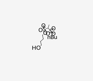 CCCCOS(=O)(=O)C(C)S(=O)(=O)OCCCCO